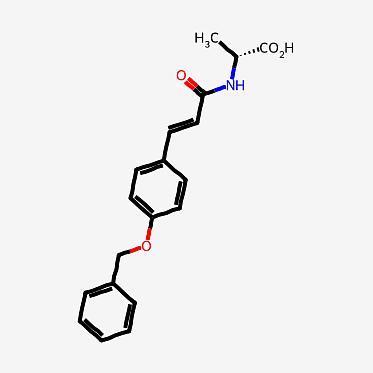 C[C@@H](NC(=O)C=Cc1ccc(OCc2ccccc2)cc1)C(=O)O